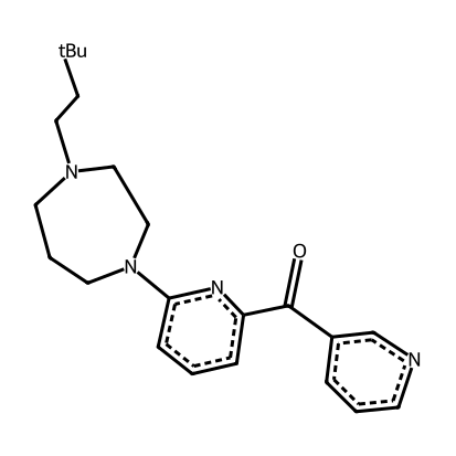 CC(C)(C)CCN1CCCN(c2cccc(C(=O)c3cccnc3)n2)CC1